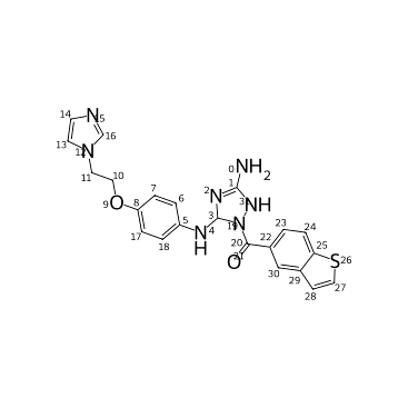 NC1=NC(Nc2ccc(OCCn3ccnc3)cc2)N(C(=O)c2ccc3sccc3c2)N1